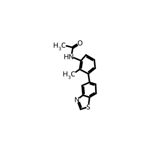 CC(=O)Nc1cccc(-c2ccc3scnc3c2)c1C